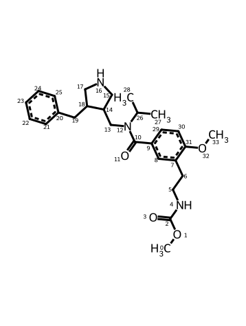 COC(=O)NCCc1cc(C(=O)N(CC2CNCC2Cc2ccccc2)C(C)C)ccc1OC